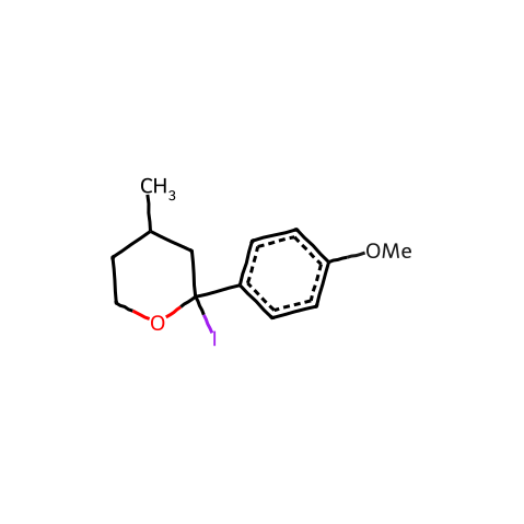 COc1ccc(C2(I)CC(C)CCO2)cc1